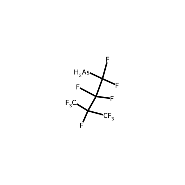 FC(F)(F)C(F)(C(F)(F)F)C(F)(F)C(F)(F)[AsH2]